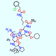 CC(C)[C@H](NC(=O)[C@H](CC(N)=O)NC(=O)[C@H](CC(=O)OC1CCCCC1)NC(=O)[C@H](CCCCNC(=O)OCc1ccccc1Cl)NC(=O)OC(C)(C)C)C(=O)N[C@@H](C)C(=O)N1CCC[C@H]1C(=O)O